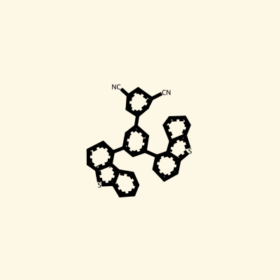 N#Cc1cc(C#N)cc(-c2cc(-c3cccc4sc5ccccc5c34)cc(-c3cccc4sc5ccccc5c34)c2)c1